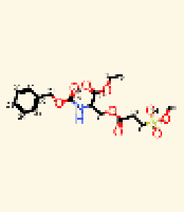 CCOC(=O)C(COC(=O)CCS(=O)(=O)OC)NC(=O)OCc1ccccc1